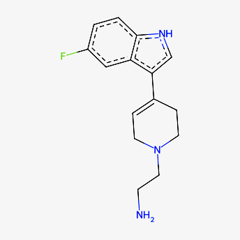 NCCN1CC=C(c2c[nH]c3ccc(F)cc23)CC1